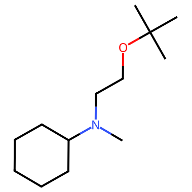 CN(CCOC(C)(C)C)C1CCCCC1